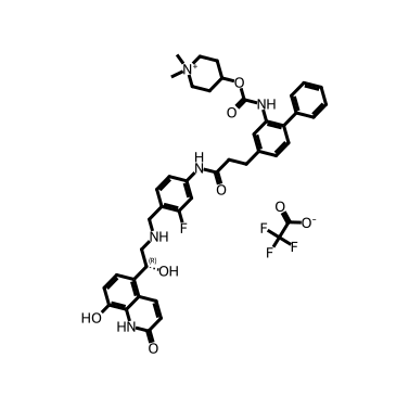 C[N+]1(C)CCC(OC(=O)Nc2cc(CCC(=O)Nc3ccc(CNC[C@H](O)c4ccc(O)c5[nH]c(=O)ccc45)c(F)c3)ccc2-c2ccccc2)CC1.O=C([O-])C(F)(F)F